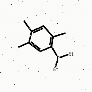 CCP(CC)c1cc(C)c(C)cc1C